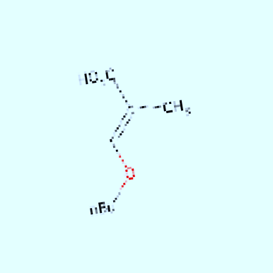 CCCCO/C=C(\C)C(=O)O